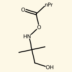 CCCC(=O)ONC(C)(C)CO